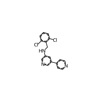 Clc1cccc(Cl)c1CNc1cncc(-c2ccncc2)c1